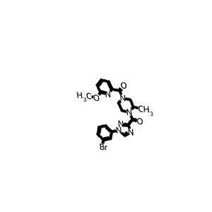 COc1cccc(C(=O)N2CCN(C(=O)c3ncn(-c4cccc(Br)c4)n3)C(C)C2)n1